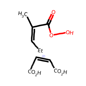 CCC=C(C)C(=O)OO.O=C(O)/C=C\C(=O)O